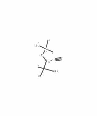 C#C[C@@H](O[Si](C)(C)C(C)(C)C)C(C)(C)CCCC